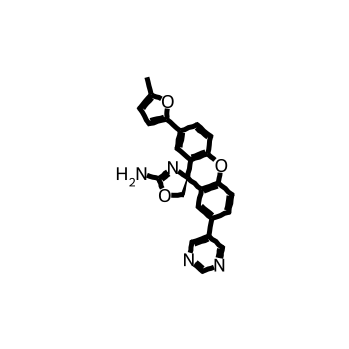 Cc1ccc(-c2ccc3c(c2)[C@]2(COC(N)=N2)c2cc(-c4cncnc4)ccc2O3)o1